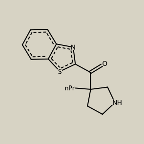 CCCC1(C(=O)c2nc3ccccc3s2)CCNC1